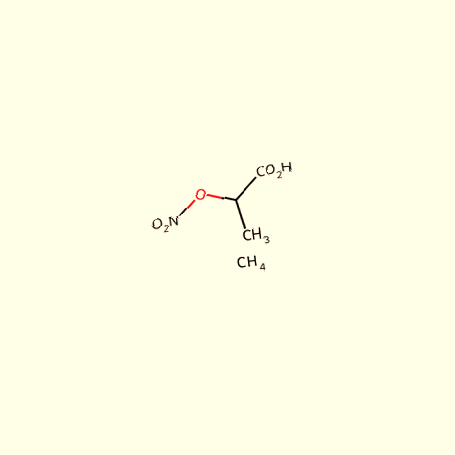 C.CC(O[N+](=O)[O-])C(=O)O